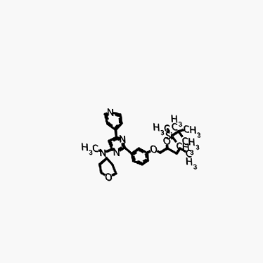 CCCC(COc1cccc(-c2nc(-c3ccncc3)cc(N(C)C3CCOCC3)n2)c1)O[Si](C)(C)C(C)(C)C